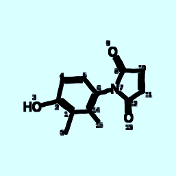 Cc1c(O)ccc(N2C(=O)C=CC2=O)c1C